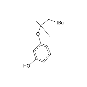 CC(C)(C)CC(C)(C)Oc1cccc(O)c1